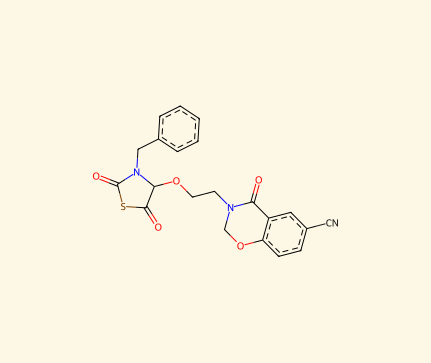 N#Cc1ccc2c(c1)C(=O)N(CCOC1C(=O)SC(=O)N1Cc1ccccc1)CO2